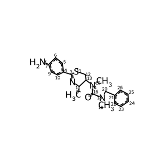 C[C@H]1N=C(c2ccc(N)cc2)SCC1N(C)C(=O)N(C)Cc1ccccc1